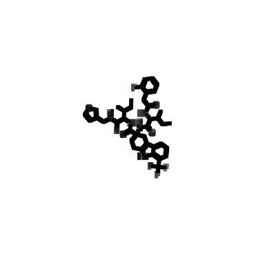 CCC(C)[C@H](NC(=O)Cc1ccccc1F)C(=O)N[C@]1(C(=O)NC(C(=S)NCc2ccoc2)[C@@H](C)CC)CCc2[nH]c3c(C(F)(F)F)cccc3c2C1